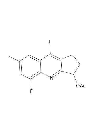 CC(=O)OC1CCc2c1nc1c(F)cc(C)cc1c2I